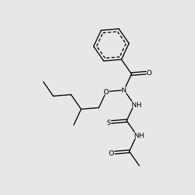 CCCC(C)CON(NC(=S)NC(C)=O)C(=O)c1ccccc1